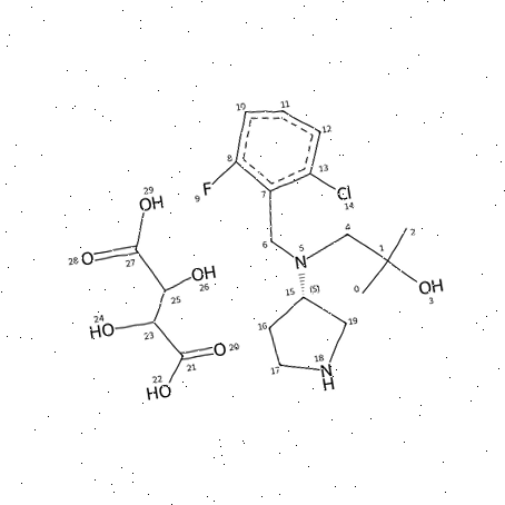 CC(C)(O)CN(Cc1c(F)cccc1Cl)[C@H]1CCNC1.O=C(O)C(O)C(O)C(=O)O